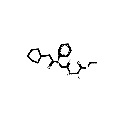 CCOC(=O)[C@H](C)NC(=O)CN(C(=O)CC1CCCCC1)c1ccccc1